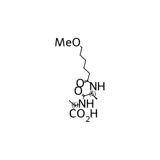 COCCCCCC(=O)N[C@@H](C)C(=O)N[C@@H](C)C(=O)O